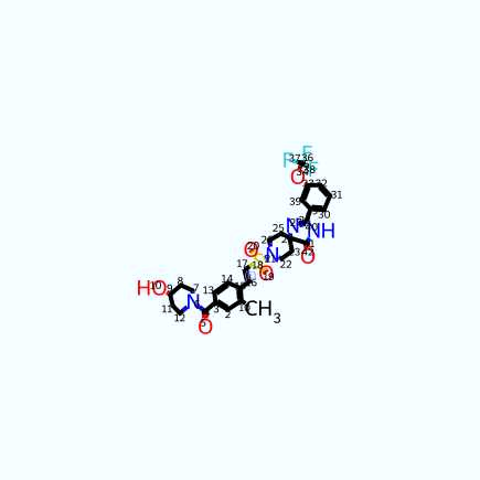 Cc1cc(C(=O)N2CCC(O)CC2)ccc1/C=C/S(=O)(=O)N1CCC2(CC1)N=C(c1cccc(OC(F)(F)F)c1)NC2=O